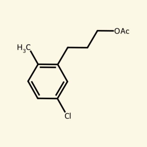 CC(=O)OCCCc1cc(Cl)ccc1C